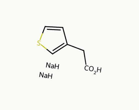 O=C(O)Cc1ccsc1.[NaH].[NaH]